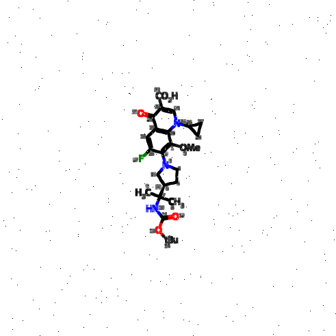 COc1c(N2CC[C@@H](C(C)(C)NC(=O)OC(C)(C)C)C2)c(F)cc2c(=O)c(C(=O)O)cn(C3CC3)c12